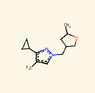 CC1CC(Cn2cc(C(F)(F)F)c(C3CC3)n2)CO1